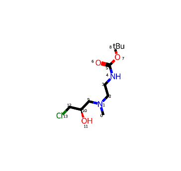 CN(CCNC(=O)OC(C)(C)C)C[C@@H](O)CCl